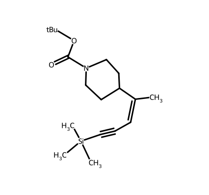 C/C(=C/C#C[Si](C)(C)C)C1CCN(C(=O)OC(C)(C)C)CC1